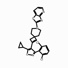 Clc1cccc(Cl)c1-c1noc(C2CC2)c1C1=CC2(CCN(c3nc4ncccc4s3)CC2)C1